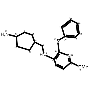 COc1ccc(NCC2CCC(N)CC2)c(Sc2ccccc2)n1